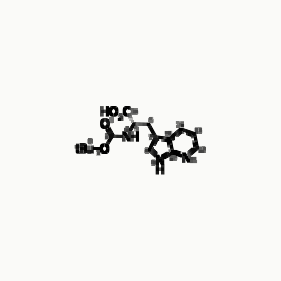 CC(C)(C)OC(=O)N[C@@H](Cc1c[nH]c2ncccc12)C(=O)O